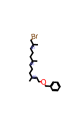 C/C(=C\CC/C(C)=C/CC/C(C)=C/COCc1ccccc1)CBr